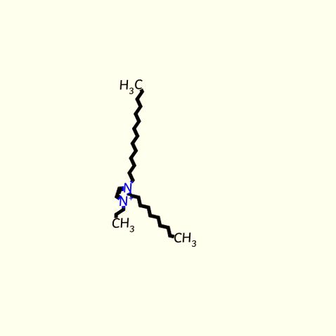 CCCCCCCCCCCCCCn1cc[n+](CCC)c1CCCCCCCCC